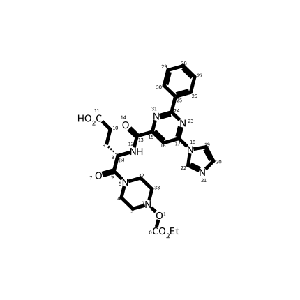 CCOC(=O)ON1CCN(C(=O)[C@H](CCC(=O)O)NC(=O)c2cc(-n3ccnc3)nc(-c3ccccc3)n2)CC1